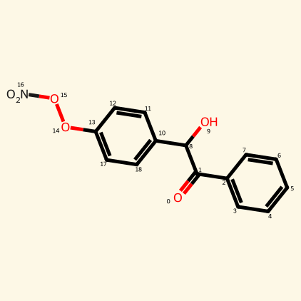 O=C(c1ccccc1)C(O)c1ccc(OO[N+](=O)[O-])cc1